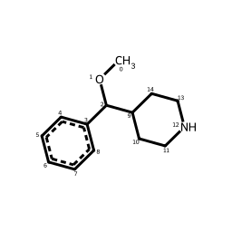 COC(c1ccccc1)C1CCNCC1